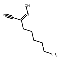 CCCCCCC(C#N)=NO